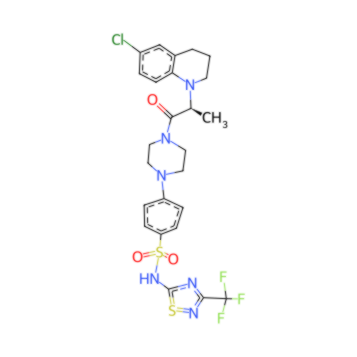 C[C@@H](C(=O)N1CCN(c2ccc(S(=O)(=O)Nc3nc(C(F)(F)F)ns3)cc2)CC1)N1CCCc2cc(Cl)ccc21